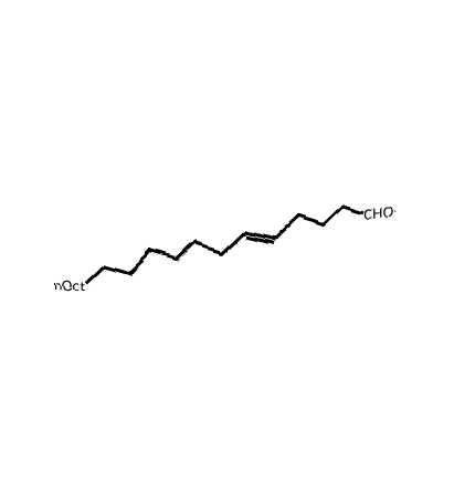 CCCCCCCCCCCCCCC=CCCC[C]=O